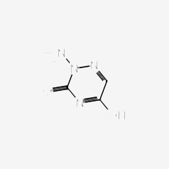 Nn1ncc(O)nc1=O